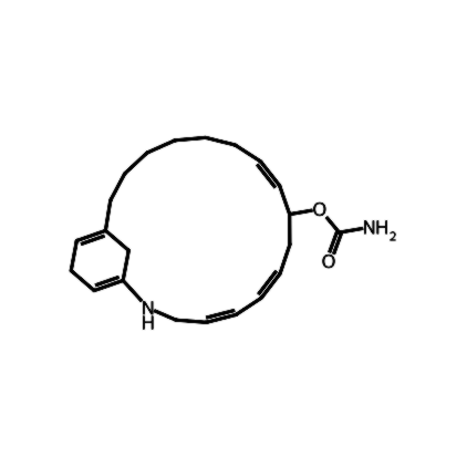 NC(=O)OC1C=CCCCCCCC2=CCC=C(C2)NCC=CC=CC1